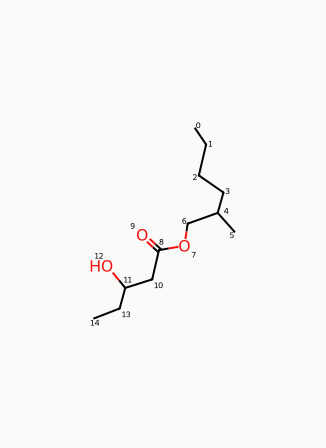 CCCCC(C)COC(=O)CC(O)CC